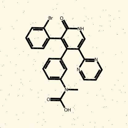 CN(C(=O)O)c1cccc(-c2c(-c3ncccn3)c[nH]c(=O)c2-c2ccccc2Br)c1